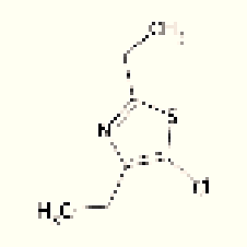 CCc1nc(CC)c(Cl)s1